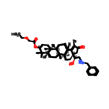 CC(C)C1=C2[C@H]3CC[C@@H]4[C@@]5(C)CC[C@H](OC(=O)COCC(=O)O)C(C)(C)[C@@H]5CC[C@@]4(C)[C@]3(C)CC[C@@]2([C@@H](O)CNCc2ccccc2)CC1=O